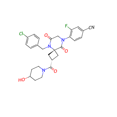 N#Cc1ccc(N2CC(=O)N(Cc3ccc(Cl)cc3)[C@]3(C[C@@H](C(=O)N4CCC(O)CC4)C3)C2=O)c(F)c1